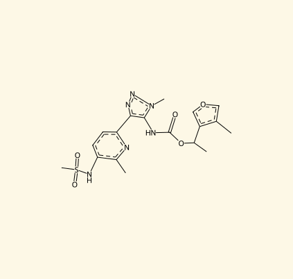 Cc1cocc1C(C)OC(=O)Nc1c(-c2ccc(NS(C)(=O)=O)c(C)n2)nnn1C